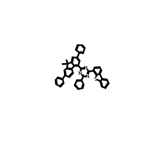 CC1(C)c2cc(-c3ccccc3)ccc2-c2c(-c3nc(-c4ccccc4)nc(-c4cccc5c4sc4ccccc45)n3)cc(-c3ccccc3)cc21